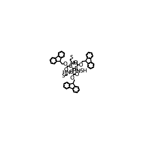 O=C(OCC1c2ccccc2-c2ccccc21)B(NS)C(B(NC=S)C(=O)OCC1c2ccccc2-c2ccccc21)B(NC=S)C(=O)OCC1c2ccccc2-c2ccccc21